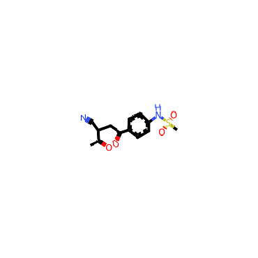 CC(=O)C(C#N)CC(=O)c1ccc(NS(C)(=O)=O)cc1